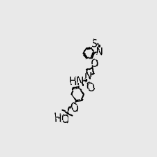 CC(C)(O)CO[C@H]1CC[C@H](NC(=O)N2CC(Oc3cccc4scnc34)C2)CC1